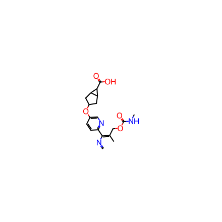 C=N/C(=C(\C)COC(=O)NC)c1ccc(OC2CC3C(C2)C3C(=O)O)cn1